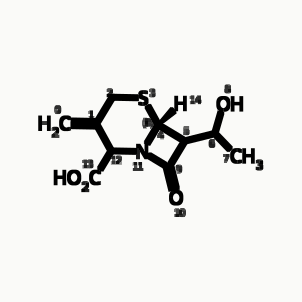 C=C1CS[C@@H]2C(C(C)O)C(=O)N2C1C(=O)O